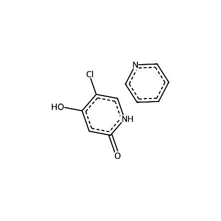 O=c1cc(O)c(Cl)c[nH]1.c1ccncc1